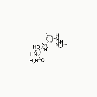 Cc1cc(Nc2nccc(C)n2)cc(-c2cnc(C3(O)CNC(C(N)=O)C3)s2)c1